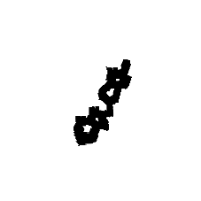 Cc1nc2ccc(Cc3nc4ncccc4s3)cc2o1